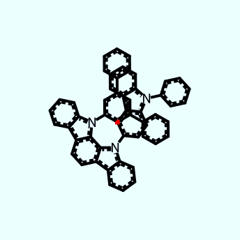 c1ccc(-c2cc(-c3ccccc3)cc(-n3c4ccccc4c4ccc5c6ccccc6n(-c6ccc7c(c6)c6ccccc6n7-c6ccccc6)c5c43)c2)cc1